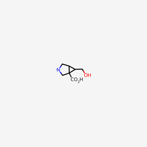 O=C(O)C12C[N]CC1C2CO